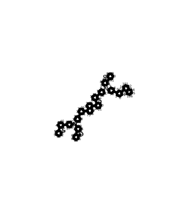 c1cc(-c2ccc(N(c3ccc(-c4cccc5c4sc4cccc(-c6cccc7c(-c8cccc(-c9ccc(N(c%10ccc(-c%11cccc%12c%11sc%11ccccc%11%12)cc%10)c%10ccc%11oc%12ccccc%12c%11c%10)cc9)c8)cccc67)c45)cc3)c3ccc4sc5ccccc5c4c3)cc2)cc(-c2cccc3ccccc23)c1